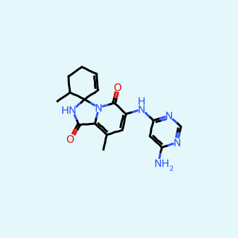 Cc1cc(Nc2cc(N)ncn2)c(=O)n2c1C(=O)NC21C=CCCC1C